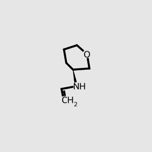 C=CN[C@H]1CCCOC1